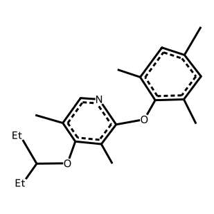 CCC(CC)Oc1c(C)cnc(Oc2c(C)cc(C)cc2C)c1C